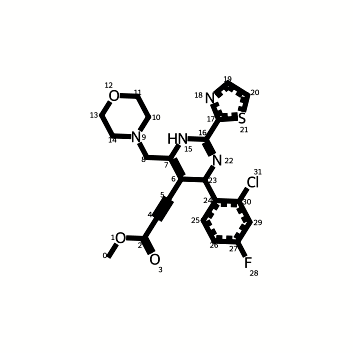 COC(=O)C#CC1=C(CN2CCOCC2)NC(c2nccs2)=NC1c1ccc(F)cc1Cl